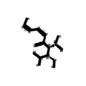 C=C(/C=C\C=C/C)[C@@H]([C@H](CC)C(C)C)N(C)C